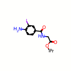 CC(C)OC(=O)CNC(=O)c1ccc(N)c(I)c1